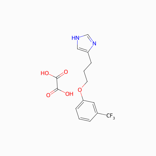 FC(F)(F)c1cccc(OCCCc2c[nH]cn2)c1.O=C(O)C(=O)O